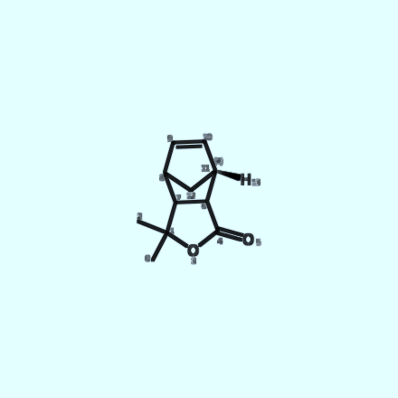 CC1(C)OC(=O)C2C1C1C=C[C@H]2C1